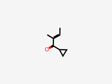 CC=C(C)C(=O)C1CC1